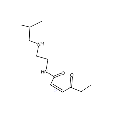 CCC(=O)/C=C\C(=O)NCCNCC(C)C